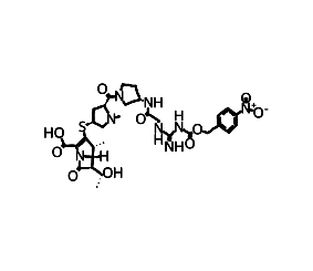 C[C@@H](O)[C@H]1C(=O)N2C(C(=O)O)=C(S[C@H]3C[C@@H](C(=O)N4CC[C@H](NC(=O)CNC(=N)NC(=O)OCc5ccc([N+](=O)[O-])cc5)C4)N(C)C3)[C@H](C)[C@H]12